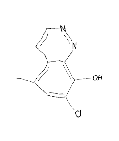 Cc1cc(Cl)c(O)c2nnccc12